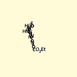 CCOC(=O)C1CCC2(CC1)CC(N1CCC(c3cnc(N4CCN5c6cc(-c7cccc(F)c7O)nnc6NCC5C4)nc3)CC1)C2